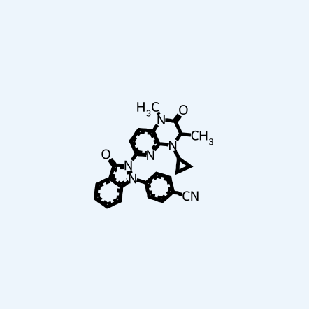 CC1C(=O)N(C)c2ccc(-n3c(=O)c4ccccc4n3-c3ccc(C#N)cc3)nc2N1C1CC1